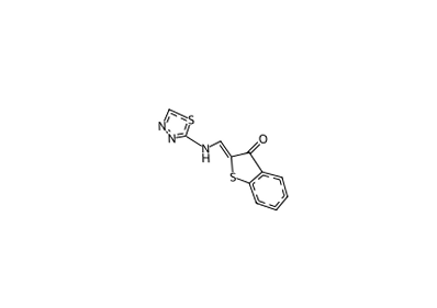 O=C1C(=CNc2nncs2)Sc2ccccc21